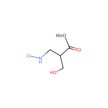 COC(=O)C(CO)CNCl